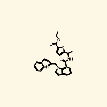 CCOC(=O)c1ccc(C(C)NC(=O)c2cccc3ccn(Cc4ccc5ccccc5n4)c23)s1